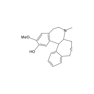 COc1cc2c(cc1O)C1c3ccccc3CCCC1N(C)CC2